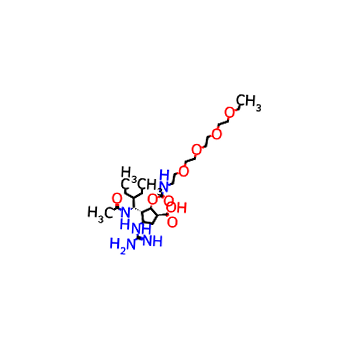 CCOCCOCCOCCOCCNC(=O)O[C@H]1[C@@H]([C@H](NC(C)=O)C(CC)CC)[C@H](NC(=N)N)C[C@@H]1C(=O)O